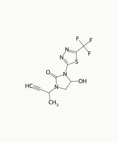 C#CC(C)N1CC(O)N(c2nnc(C(F)(F)F)s2)C1=O